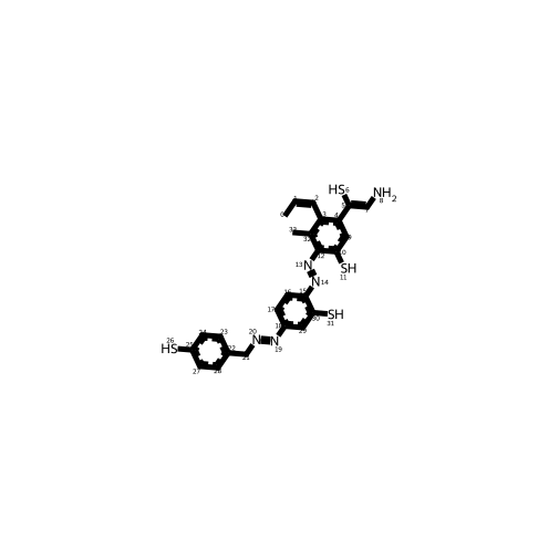 C/C=C\c1c(/C(S)=C/N)cc(S)c(N=Nc2ccc(N=NCc3ccc(S)cc3)cc2S)c1C